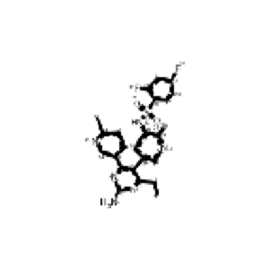 CCc1nc(N)nc(-c2ccc(C)nc2)c1-c1cnc(C)c(NS(=O)(=O)c2ccc(F)cc2F)c1